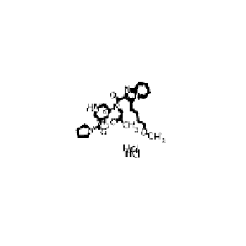 COCCCCc1c(C(=O)N(CC(C)C)[C@@H]2CNC[C@H](C(=O)N3CCCC3)C2)nc2ccccn12.Cl.Cl